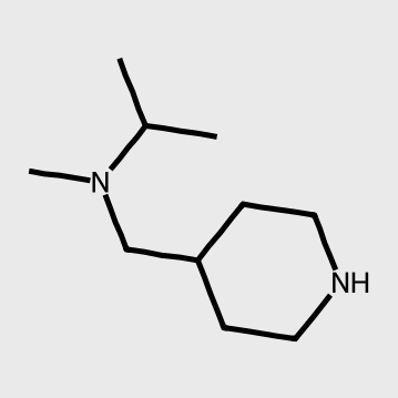 CC(C)N(C)CC1CCNCC1